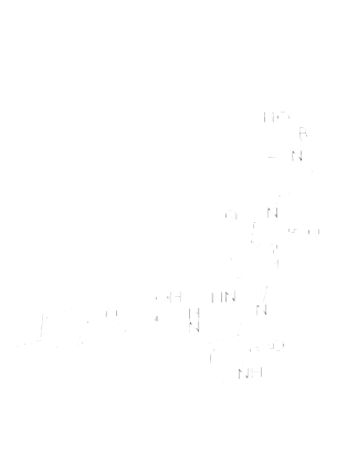 CB(O)N1CCC(N2C(=O)c3cc4nc(-c5c(NC[C@@H](O)COc6ccc(C)cc6C)cc[nH]c5=O)[nH]c4cc3C2=O)CC1